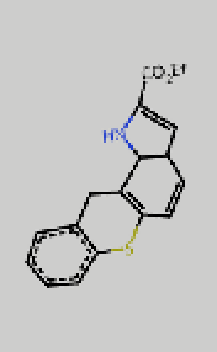 CCOC(=O)C1=CC2C=CC3=C(Cc4ccccc4S3)C2N1